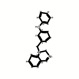 C1=NCN(Cc2cccc(Oc3ccccc3)c2)c2ccccc21